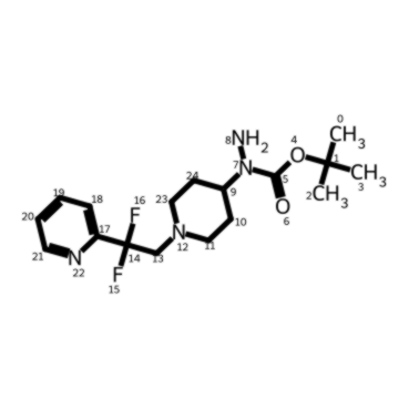 CC(C)(C)OC(=O)N(N)C1CCN(CC(F)(F)c2ccccn2)CC1